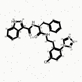 O=C(N[C@@H](Cc1ccccc1)C(=O)NCCc1cc(Cl)ccc1-n1cnnn1)c1n[nH]c2ccccc12